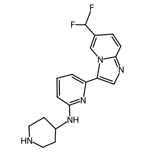 FC(F)c1ccc2ncc(-c3cccc(NC4CCNCC4)n3)n2c1